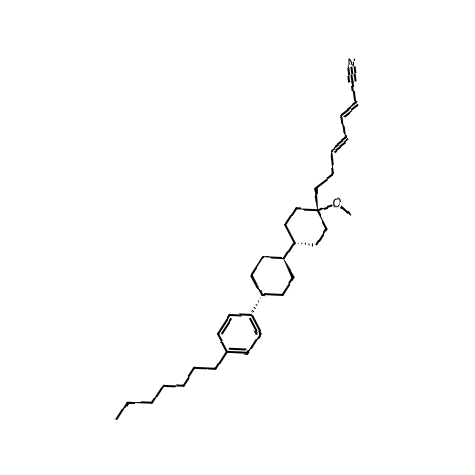 CCCCCCCc1ccc([C@H]2CC[C@H]([C@H]3CC[C@@](CCC=CC=CC#N)(OC)CC3)CC2)cc1